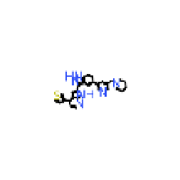 c1cc(-c2ccsc2)c2cc(-c3n[nH]c4ccc(-c5cncc(CN6CCCCC6)c5)cc34)[nH]c2n1